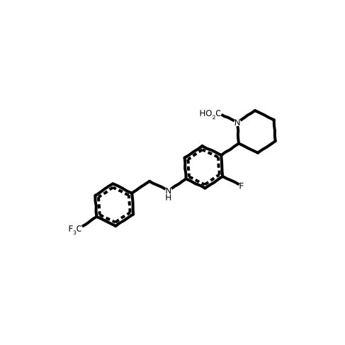 O=C(O)N1CCCCC1c1ccc(NCc2ccc(C(F)(F)F)cc2)cc1F